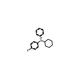 Fc1ccc([SH](c2ccccc2)C2CCCCC2)cc1